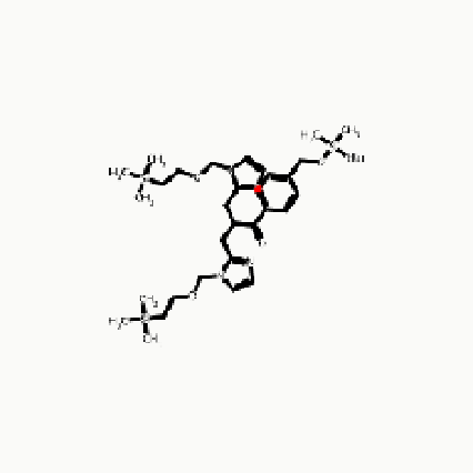 CC(C)(C)[Si](C)(C)OCc1ccc(C(=O)C(Cc2nccn2COCC[Si](C)(C)C)Cc2nccn2COCC[Si](C)(C)C)cc1